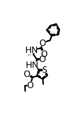 CCOC(=O)c1c(C)csc1NC(=O)[C@H](C)NC(=O)OCc1ccccc1